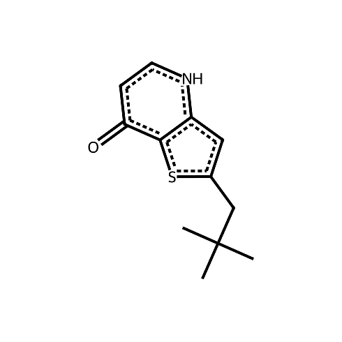 CC(C)(C)Cc1cc2[nH]ccc(=O)c2s1